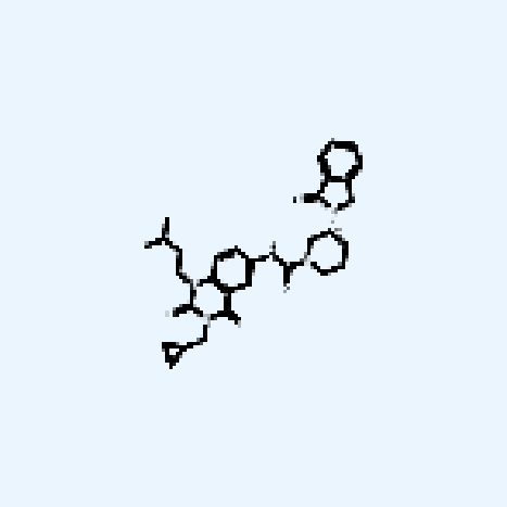 CC(C)CCn1c(=O)n(CC2CC2)c(=O)c2cc(NC(=O)N3CCC[C@@H](N4Cc5ccccc5C4=O)C3)ccc21